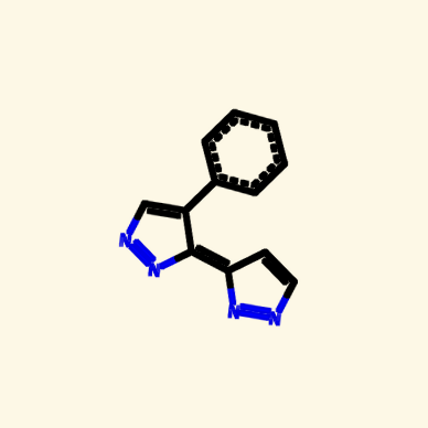 C1=CC(=C2N=NC=C2c2ccccc2)N=N1